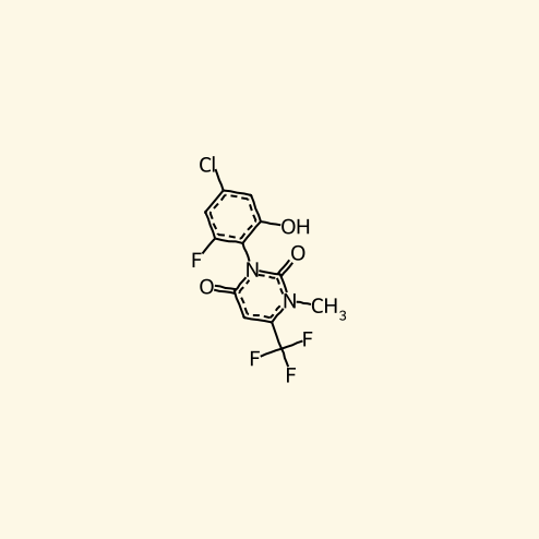 Cn1c(C(F)(F)F)cc(=O)n(-c2c(O)cc(Cl)cc2F)c1=O